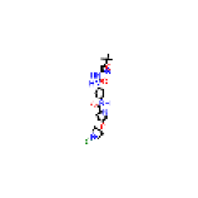 CC(C)(C)c1cc(NC(=O)N[C@H]2CC[C@H](NC(=O)c3ccc(OC4CCN(Cl)CC4)cn3)CC2)no1